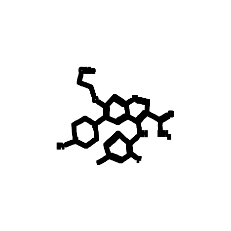 COCCOc1cc2ncc(C(N)=O)c(Nc3ccc(C)cc3F)c2cc1N1CCN(C(C)C)CC1